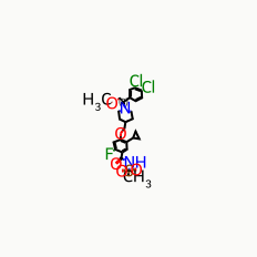 COC[C@@H](c1ccc(Cl)c(Cl)c1)N1CCC(COc2cc(F)c(C(=O)NS(C)(=O)=O)cc2C2CC2)CC1